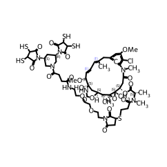 COc1cc2cc(c1Cl)N(C)C(=O)C[C@H](OC(=O)[C@H](C)N(C)C(=O)CCSC1CC(=O)N(CCOCCOCCNC(=O)CCC(=O)N3C[C@H](N4C(=O)C(S)C(S)C4=O)C[C@H](N4C(=O)C(S)C(S)C4=O)C3)C1=O)[C@]1(C)O[C@H]1[C@H](C)[C@@H]1C[C@@](O)(NC(=O)O1)[C@H](OC)/C=C/C=C(\C)C2